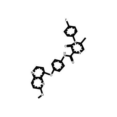 COc1ccc2nccc(Oc3ccc(NC(=O)c4ncc(C)n(-c5ccc(F)cc5)c4=O)cc3)c2n1